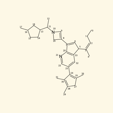 CC/C=C(/C)C1C=C(C2=CN(C(C)C3CCC(C)C3)C2)c2ncc(C3=C(C)CC(C)=C3C)cc21